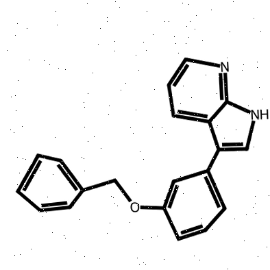 c1ccc(COc2cccc(-c3c[nH]c4ncccc34)c2)cc1